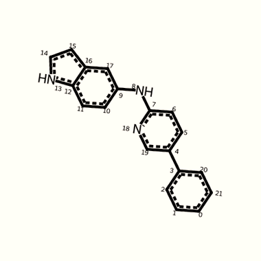 c1ccc(-c2ccc(Nc3ccc4[nH]ccc4c3)nc2)cc1